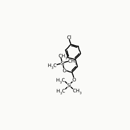 C[Si](C)(C)OC(=Cc1ccc(Cl)cc1)O[Si](C)(C)C